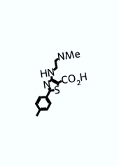 CNCCNc1nc(-c2ccc(C)cc2)sc1C(=O)O